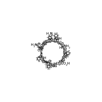 CCCC[C@H]1C(=O)N(C)CC(=O)N[C@@H](CC(=O)O)C(=O)N[C@@H](C(C)C)C(=O)N(C)[C@@H](Cc2ccccc2)C(=O)N[C@@H](CN)C(=O)N(C)CC(=O)N[C@@H](Cc2c[nH]c3ccccc23)C(=O)N[C@@H](Cc2ccc(CN)cc2)C(=O)N[C@@H](CC(C)C)C(=O)N[C@H](C(=O)NCC(N)=O)CSCC(=O)N[C@@H](Cc2ccccc2)C(=O)N(C)[C@H]2Cc3cccc(c3)N1C2=O